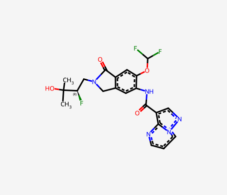 CC(C)(O)[C@H](F)CN1Cc2cc(NC(=O)c3cnn4cccnc34)c(OC(F)F)cc2C1=O